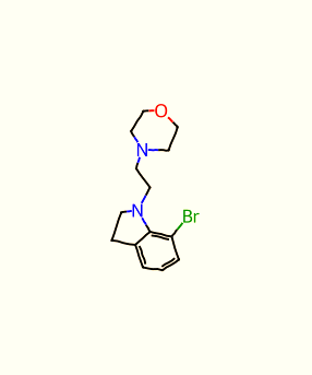 Brc1cccc2c1N(CCN1CCOCC1)CC2